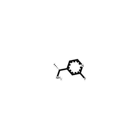 C[C@@H](N)c1ccnc(F)c1